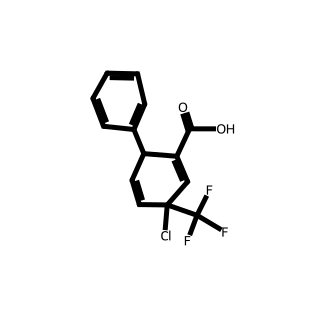 O=C(O)C1=CC(Cl)(C(F)(F)F)C=CC1c1ccccc1